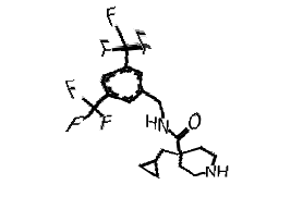 O=C(NCc1cc(C(F)(F)F)cc(C(F)(F)F)c1)C1(CC2CC2)CCNCC1